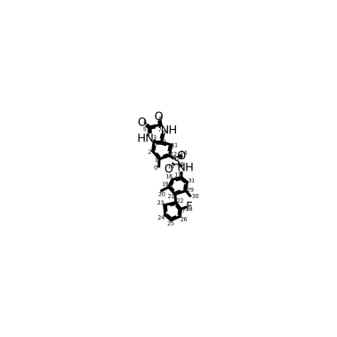 Cc1cc2[nH]c(=O)c(=O)[nH]c2cc1S(=O)(=O)Nc1cc(C)c(-c2ccccc2F)c(C)c1